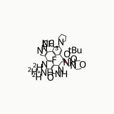 [2H]C([2H])([2H])Nc1nc(-c2cnn(C)c2-c2c(F)c(C#CCN3CCOCC3)cc(N3CCCC3)c2C#N)cc2c(CNC(=O)OC(C)(C)C)n[nH]c(=O)c12